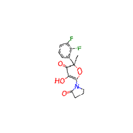 CC1(c2cccc(F)c2F)OC(N2CCCC2=O)=C(O)C1=O